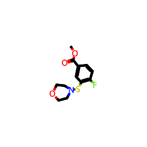 COC(=O)c1ccc(F)c(SN2CCOCC2)c1